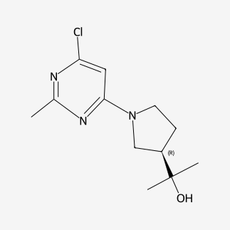 Cc1nc(Cl)cc(N2CC[C@@H](C(C)(C)O)C2)n1